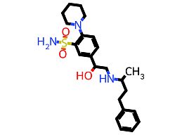 CC(CCc1ccccc1)NCC(O)c1ccc(N2CCCCC2)c(S(N)(=O)=O)c1